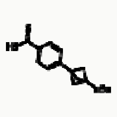 CCCCC12CC(c3ccc(C(=S)S)cc3)(C1)C2